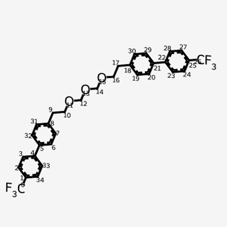 FC(F)(F)c1ccc(-c2ccc(CCOCOCOCCc3ccc(-c4ccc(C(F)(F)F)cc4)cc3)cc2)cc1